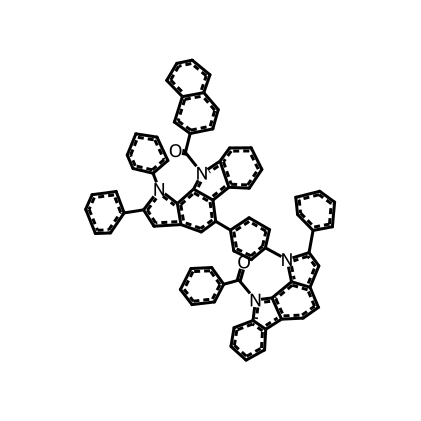 O=C(c1ccccc1)n1c2ccccc2c2ccc3cc(-c4ccccc4)n(-c4ccc(-c5cc6cc(-c7ccccc7)n(-c7ccccc7)c6c6c5c5ccccc5n6C(=O)c5ccc6ccccc6c5)cc4)c3c21